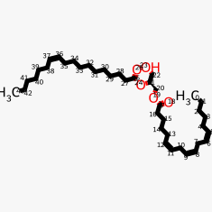 CCCCC/C=C\C/C=C\C/C=C\CCCCC(=O)OC[C@H](CO)OC(=O)CCCCCCCCC/C=C\CCCCCC